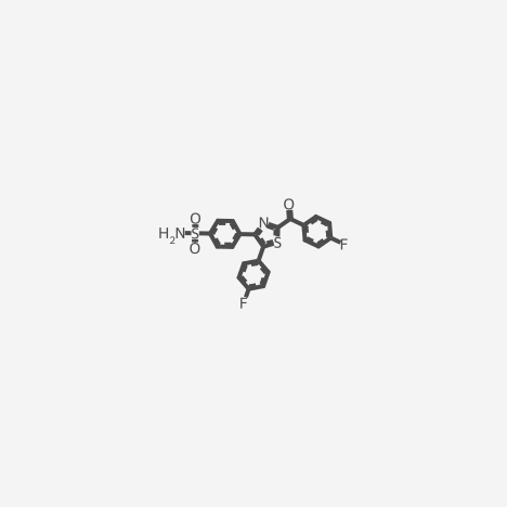 NS(=O)(=O)c1ccc(-c2nc(C(=O)c3ccc(F)cc3)sc2-c2ccc(F)cc2)cc1